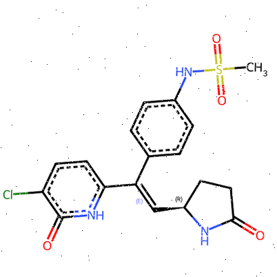 CS(=O)(=O)Nc1ccc(/C(=C\[C@H]2CCC(=O)N2)c2ccc(Cl)c(=O)[nH]2)cc1